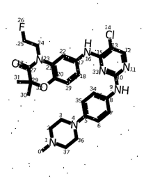 CN1CCN(c2ccc(Nc3ncc(Cl)c(Nc4ccc5c(c4)N(CCF)C(=O)C(C)(C)O5)n3)cc2)CC1